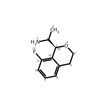 CC(N)[C@H]1OCCc2cccc(F)c21